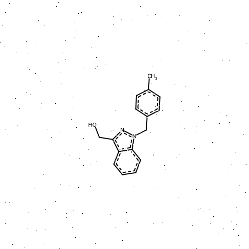 Cc1ccc(Cn2nc(CO)c3ccccc32)cc1